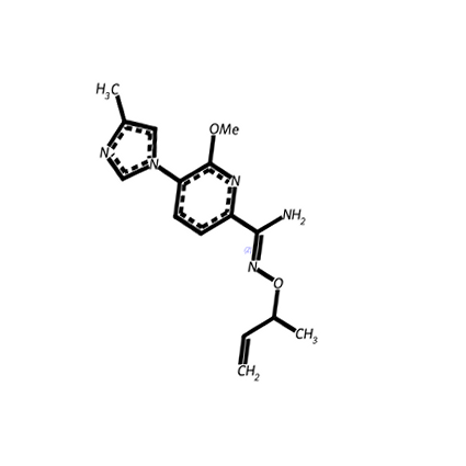 C=CC(C)O/N=C(\N)c1ccc(-n2cnc(C)c2)c(OC)n1